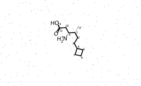 C[C@H](CCC1CCC1)[C@H](N)CC(=O)O